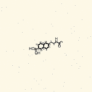 CC(=O)NCCc1ccc2cc(B(O)O)ccc2c1